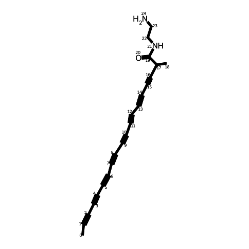 CC#CC#CC#CC#CC#CC#CC#CC#CC(C)C(=O)NCCN